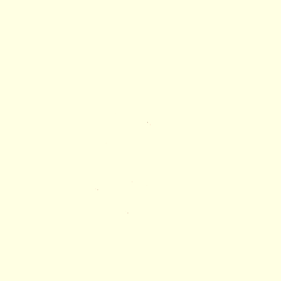 CCOc1cc(-c2ccccc2)nc2c(F)c(C(=O)C(C#N)C#N)ccc12